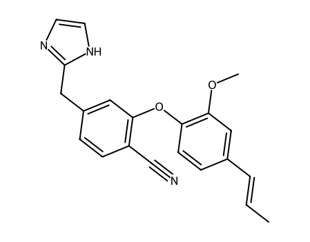 CC=Cc1ccc(Oc2cc(Cc3ncc[nH]3)ccc2C#N)c(OC)c1